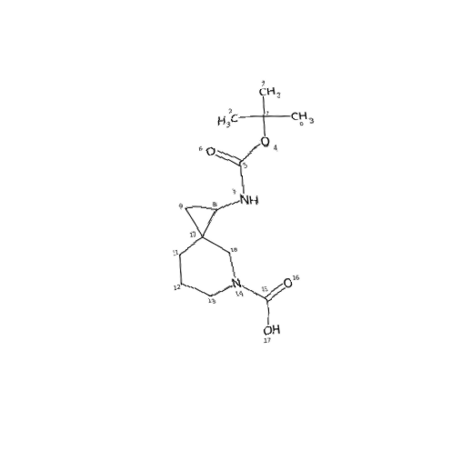 CC(C)(C)OC(=O)NC1CC12CCCN(C(=O)O)C2